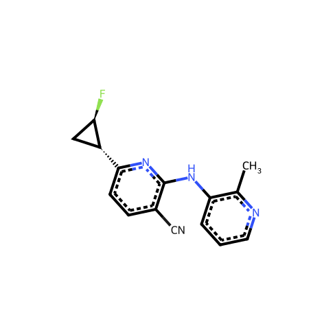 Cc1ncccc1Nc1nc([C@@H]2C[C@H]2F)ccc1C#N